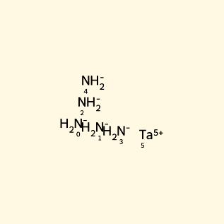 [NH2-].[NH2-].[NH2-].[NH2-].[NH2-].[Ta+5]